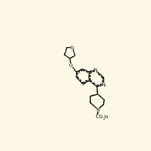 O=C(O)N1CCC(c2ncnc3cc(OC4CCOC4)ccc23)CC1